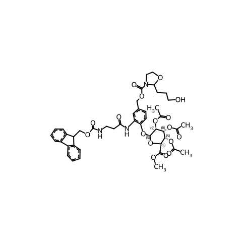 COC(=O)[C@H]1O[C@@H](Oc2ccc(COC(=O)N3CCOC3CCCO)cc2NC(=O)CCNC(=O)OCC2c3ccccc3-c3ccccc32)[C@@H](OC(C)=O)[C@H](OC(C)=O)[C@@H]1OC(C)=O